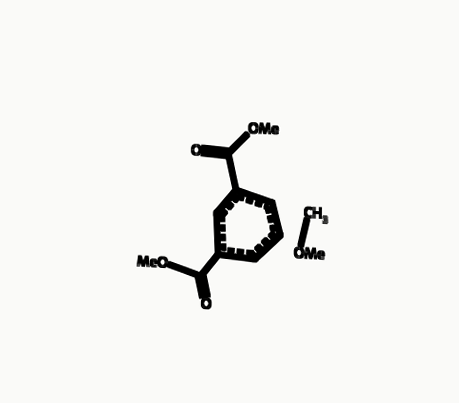 COC.COC(=O)c1cccc(C(=O)OC)c1